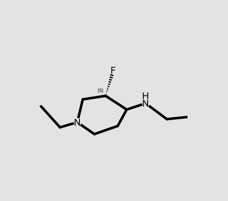 CCNC1CCN(CC)C[C@@H]1F